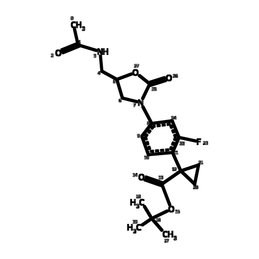 CC(=O)NCC1CN(c2ccc(C3(C(=O)OC(C)(C)C)CC3)c(F)c2)C(=O)O1